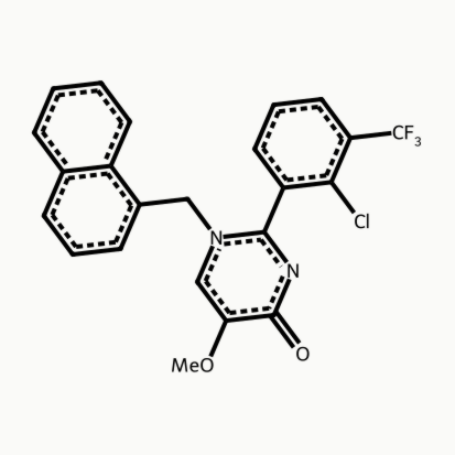 COc1cn(Cc2cccc3ccccc23)c(-c2cccc(C(F)(F)F)c2Cl)nc1=O